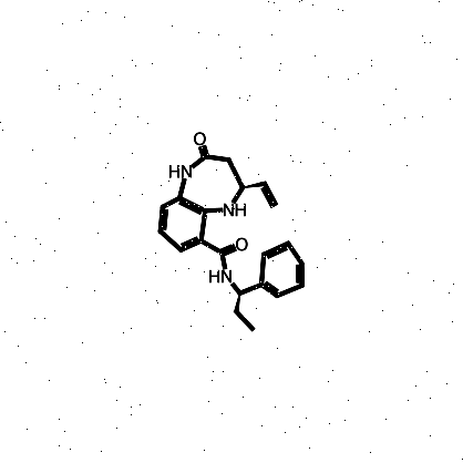 C=C[C@@H]1CC(=O)Nc2cccc(C(=O)N[C@H](CC)c3ccccc3)c2N1